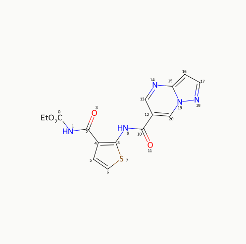 CCOC(=O)NC(=O)c1ccsc1NC(=O)c1cnc2ccnn2c1